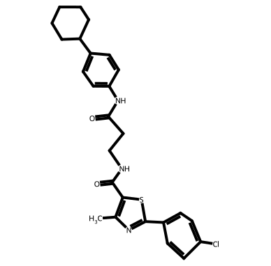 Cc1nc(-c2ccc(Cl)cc2)sc1C(=O)NCCC(=O)Nc1ccc(C2CCCCC2)cc1